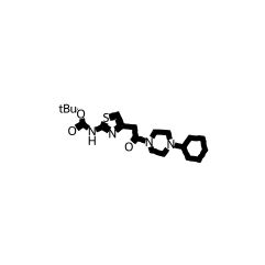 CC(C)(C)OC(=O)Nc1nc(CC(=O)N2CCN(C3CCCCC3)CC2)cs1